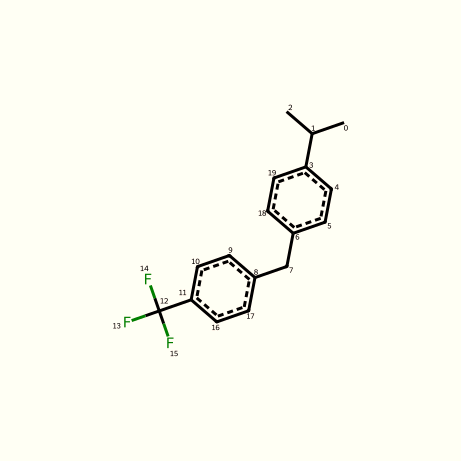 CC(C)c1ccc(Cc2ccc(C(F)(F)F)cc2)cc1